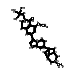 COc1cc(-c2cnc3cc(C45CC6CN(C)CC(C4)C65)ccn23)cc2c1C(=O)N(CC(F)(F)F)CC2